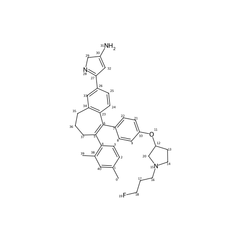 Cc1ccc(C2=C(c3ccc(OC4CCN(CCCF)C4)cc3)c3ccc(C4=NCC(N)=C4)cc3CCC2)c(C)c1